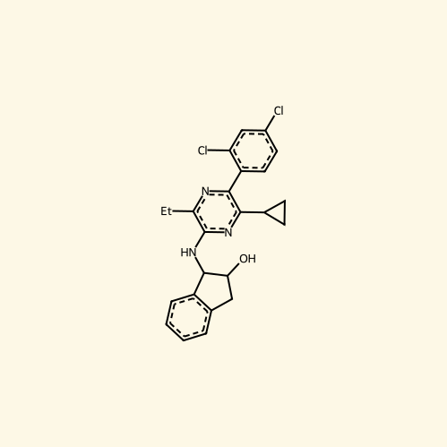 CCc1nc(-c2ccc(Cl)cc2Cl)c(C2CC2)nc1NC1c2ccccc2CC1O